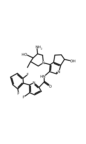 CC1CN(c2c(NC(=O)c3ccc(F)c(-c4c(F)cccc4F)n3)cnc3c2CCC3O)CC(N)C1O